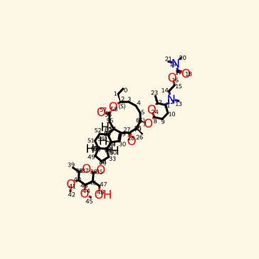 CC[C@H]1CCC[C@H](OC2CCC(N(C)CCOC(=O)N(C)C)C(C)O2)[C@@H](C)C(=O)C2=C[C@H]3[C@@H]4C[C@H](OC5OC(C)C(OC)C(OC)C5CO)C[C@H]4CC[C@H]3C2CC(=O)O1